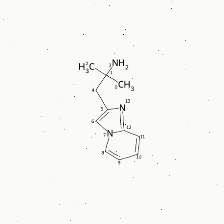 CC(C)(N)Cc1cn2ccccc2n1